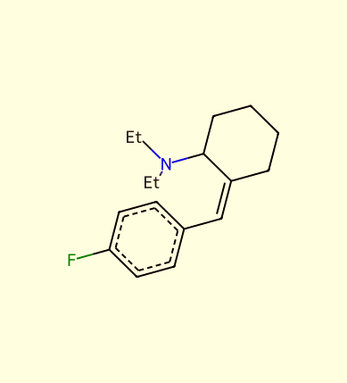 CCN(CC)C1CCCC/C1=C/c1ccc(F)cc1